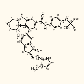 C[C@@H]1COCc2nc3cc(C(=O)Nc4ccc(OC(F)(F)Cl)cc4)cc(-c4cnc5c(c4)-c4nn(-c6nccn6C)cc4C5)c3n21